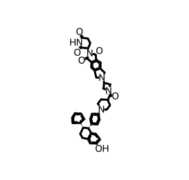 O=C1CCC(N2C(=O)c3cc4c(cc3C2=O)CN(C2CN(C(=O)C3CCN(c5ccc([C@@H]6c7ccc(O)cc7CC[C@@H]6c6ccccc6)cc5)CC3)C2)C4)C(=O)N1